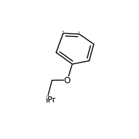 CC(C)COc1c[c][c]cc1